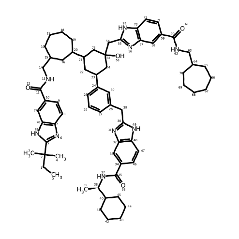 CCC(C)(C)c1nc2ccc(C(=O)NCC3CCCCC(C4CC(c5cccc(Cc6nc7cc(C(=O)N[C@H](C)C8CCCCC8)ccc7[nH]6)c5)CC(O)(Cc5nc6cc(C(=O)NCC7CCCCCC7)ccc6[nH]5)C4)C3)cc2[nH]1